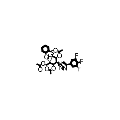 CC(=O)OCC1O[C@H](Sc2ccccc2Cl)C(OC(C)=O)C(n2cc(-c3cc(F)c(F)c(F)c3)nn2)[C@H]1OC(C)=O